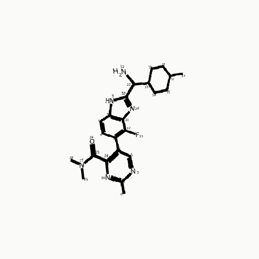 Cc1ncc(-c2ccc3[nH]c(C(N)C4CCC(C)CC4)nc3c2F)c(C(=O)N(C)C)n1